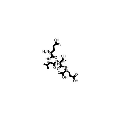 CC(C)[C@H](NC(=O)[C@@H](N)CCC(=O)O)C(=O)N[C@H](C(=O)N[C@@H](CCC(=O)O)C(=O)O)[C@@H](C)O